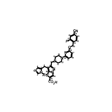 CCn1cncc1Cc1c(CN2CCN(c3cccc(OCc4ccc(C#N)cc4F)n3)CC2)nn2cc(C(=O)O)sc12